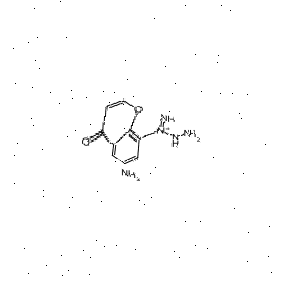 N.N=[N+](NN)c1cccc2c(=O)c[c]oc12